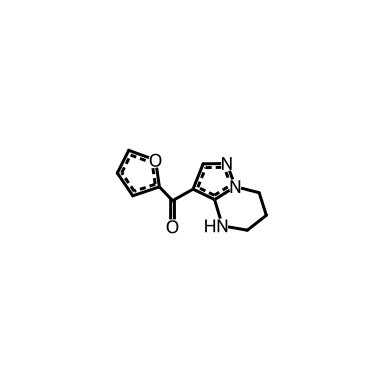 O=C(c1ccco1)c1cnn2c1NCCC2